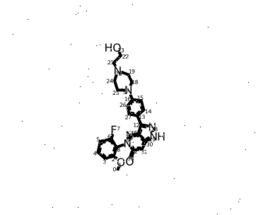 COc1cccc(F)c1-n1nc2c(-c3ccc(N4CCN(CCO)CC4)cc3)n[nH]c2cc1=O